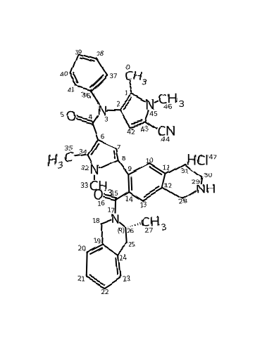 Cc1c(N(C(=O)c2cc(-c3cc4c(cc3C(=O)N3Cc5ccccc5C[C@H]3C)CNCC4)n(C)c2C)c2ccccc2)cc(C#N)n1C.Cl